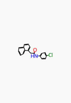 O=C(Cc1cccc2ccccc12)Nc1ccc(Cl)cc1